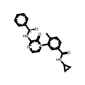 CC[C@@H](Nc1nccn(-c2cc(C(=O)NC3CC3)ccc2C)c1=O)c1ccccc1